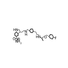 C=C(COCc1ccc(F)cc1)NCCCc1ccc(CNCCC2CNc3ccc(S(N)(=O)=O)cc32)cc1